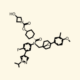 COc1ccc(C23CCC(CN(c4ccc(F)c(-c5cnn(C(C)C)c5)c4)C(=O)[C@H]4CC[C@H](OC(=O)N5CC(O)C5)CC4)(CC2)CC3)cc1C